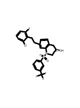 O=S(=O)(c1cccc(C(F)(F)F)c1)N1C[C@H](O)Cc2ccc(CCc3c(F)cccc3Cl)cc21